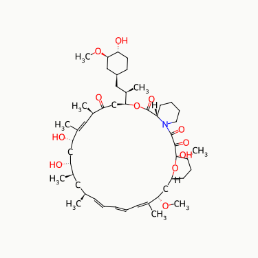 CO[C@H]1C[C@@H]2CC[C@@H](C)[C@@](O)(O2)C(=O)C(=O)N2CCCC[C@H]2C(=O)O[C@H]([C@H](C)C[C@@H]2CC[C@@H](O)[C@H](OC)C2)CC(=O)[C@H](C)/C=C(\C)[C@@H](O)C[C@@H](O)[C@H](C)C[C@H](C)/C=C/C=C/C=C/1C